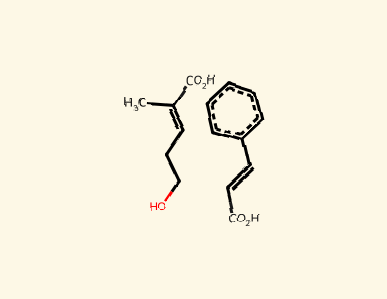 CC(=CCCO)C(=O)O.O=C(O)C=Cc1ccccc1